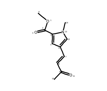 COC(=O)c1cc(/C=C/C(C)=O)cn1C